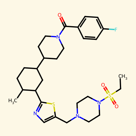 CCS(=O)(=O)N1CCN(Cc2cnc(C3C[C](C4CCN(C(=O)c5ccc(F)cc5)CC4)CCC3C)s2)CC1